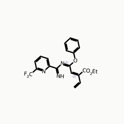 C=C/C(=C/C(=N\C(=N)c1cccc(C(F)(F)F)n1)Oc1ccccc1)C(=O)OCC